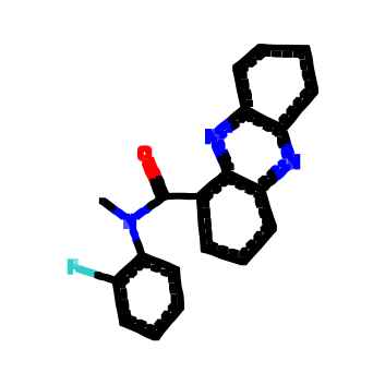 CN(C(=O)c1cccc2nc3ccccc3nc12)c1ccccc1F